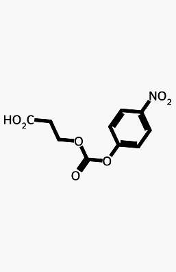 O=C(O)CCOC(=O)Oc1ccc([N+](=O)[O-])cc1